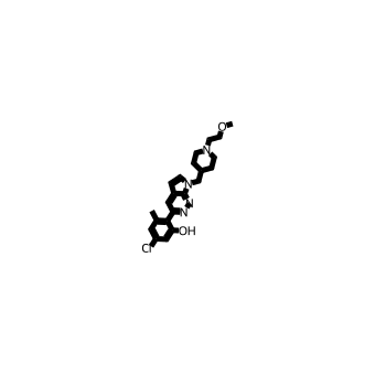 COCCN1CCC(Cn2ccc3cc(-c4c(C)cc(Cl)cc4O)nnc32)CC1